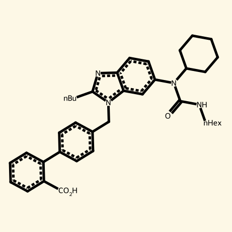 CCCCCCNC(=O)N(c1ccc2nc(CCCC)n(Cc3ccc(-c4ccccc4C(=O)O)cc3)c2c1)C1CCCCC1